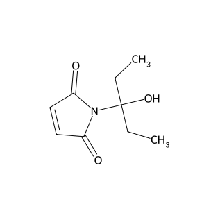 CCC(O)(CC)N1C(=O)C=CC1=O